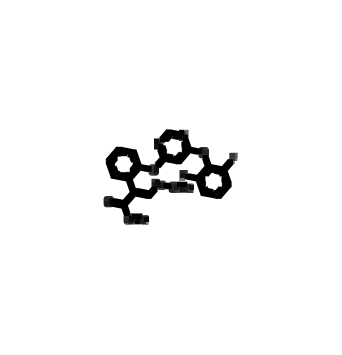 C[O][Po]/[CH]=C(/C(=O)OC)c1ccccc1Oc1cc(Oc2c(F)cccc2F)ncn1